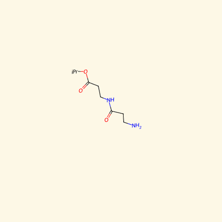 CC(C)OC(=O)CCNC(=O)CCN